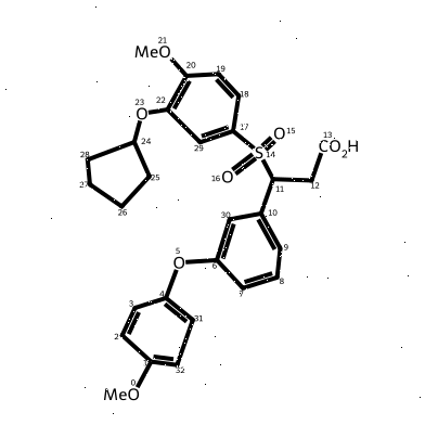 COc1ccc(Oc2cccc(C(CC(=O)O)S(=O)(=O)c3ccc(OC)c(OC4CCCC4)c3)c2)cc1